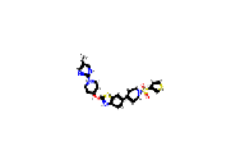 CCCc1cnc(N2CCC(Oc3nc4ccc(C5=CCN(S(=O)(=O)c6ccsc6)CC5)cc4s3)CC2)nc1